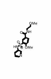 COCCNC(=O)c1ccc(OC)c(S(=O)(=O)Nc2cccnc2)c1